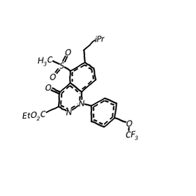 CCOC(=O)c1nn(-c2ccc(OC(F)(F)F)cc2)c2ccc(CC(C)C)c(S(C)(=O)=O)c2c1=O